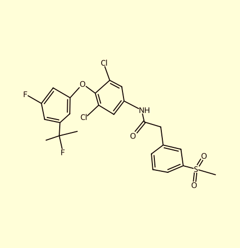 CC(C)(F)c1cc(F)cc(Oc2c(Cl)cc(NC(=O)Cc3cccc(S(C)(=O)=O)c3)cc2Cl)c1